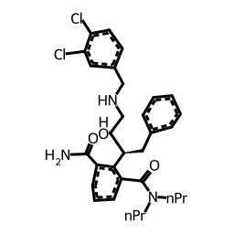 CCCN(CCC)C(=O)c1cccc(C(N)=O)c1[C@H](Cc1ccccc1)[C@@H](O)CNCc1ccc(Cl)c(Cl)c1